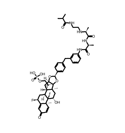 CC(C)C(=O)NCCN[C@@H](C)C(=O)N[C@@H](C)C(=O)Nc1cccc(Cc2ccc([C@@H]3O[C@@H]4C[C@H]5[C@@H]6C[C@H](F)C7=CC(=O)C=C[C@]7(C)[C@@]6(F)[C@@H](O)C[C@]5(C)[C@]4(C(=O)COP(=O)(O)O)O3)cc2)c1